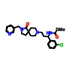 COC(=O)NC(CCN1CCC2(CC1)CCN(Cc1cccnc1)C2=O)c1cccc(Cl)c1